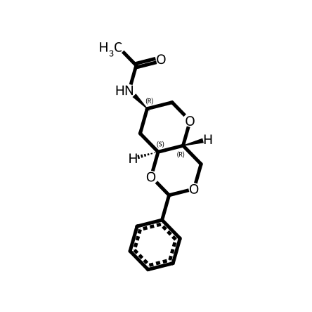 CC(=O)N[C@H]1CO[C@@H]2COC(c3ccccc3)O[C@H]2C1